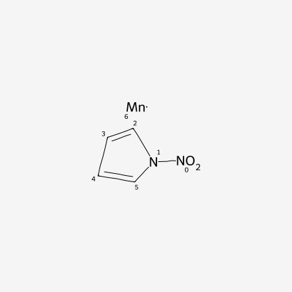 O=[N+]([O-])n1cccc1.[Mn]